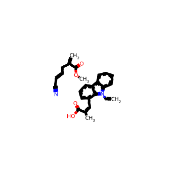 C=C(CC=CC#N)C(=O)OC.C=Cn1c2ccccc2c2cccc(C=C(C)C(=O)O)c21